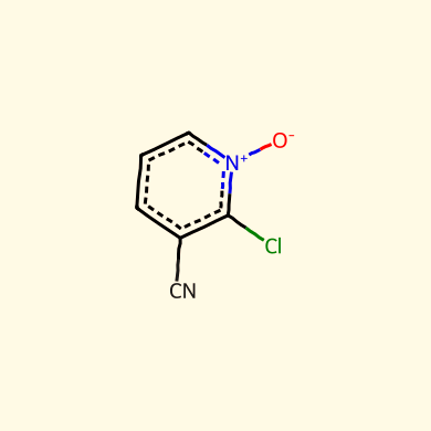 N#Cc1ccc[n+]([O-])c1Cl